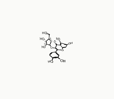 O=c1c(OC2O[C@H](CO)[C@@H](O)[C@@H]2O)c(-c2ccc(O)c(O)c2)oc2cc(O)cc(O)c12